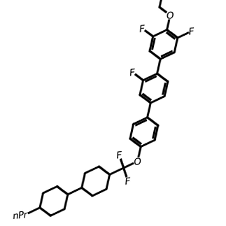 CCCC1CCC(C2CCC(C(F)(F)Oc3ccc(-c4ccc(-c5cc(F)c(OCF)c(F)c5)c(F)c4)cc3)CC2)CC1